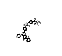 CN(C)C(=O)c1ccc(NC(=O)Nc2ccc(-c3nc(N4CCOCC4)c4cc(F)c(-c5cccnc5F)cc4n3)cc2)cc1